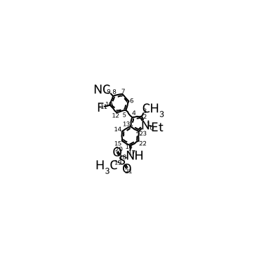 CCn1c(C)c(-c2ccc(C#N)c(F)c2)c2ccc(NS(C)(=O)=O)cc21